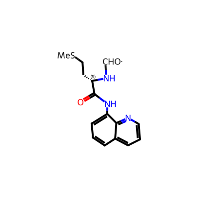 CSCC[C@H](N[C]=O)C(=O)Nc1cccc2cccnc12